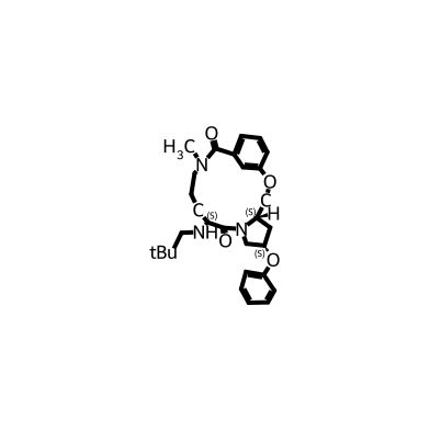 CN1CCC[C@H](NCC(C)(C)C)C(=O)N2C[C@@H](Oc3ccccc3)C[C@H]2COc2cccc(c2)C1=O